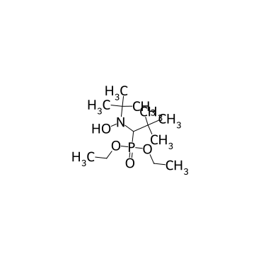 CCOP(=O)(OCC)C(N(O)C(C)(C)C)C(C)(C)C